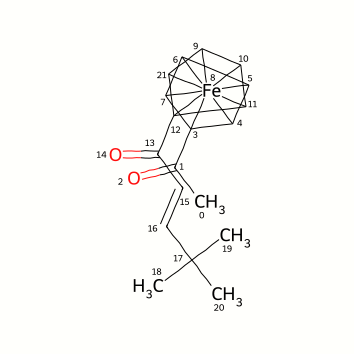 CC(=O)[C]12[CH]3[CH]4[CH]5[CH]1[Fe]45321678[CH]2[CH]1[CH]6[C]7(C(=O)C=CC(C)(C)C)[CH]28